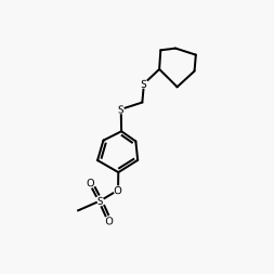 CS(=O)(=O)Oc1ccc(SCSC2CCCCC2)cc1